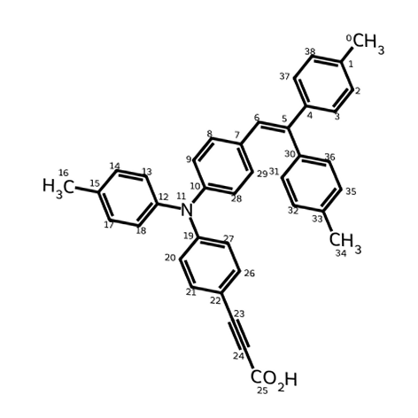 Cc1ccc(C(=Cc2ccc(N(c3ccc(C)cc3)c3ccc(C#CC(=O)O)cc3)cc2)c2ccc(C)cc2)cc1